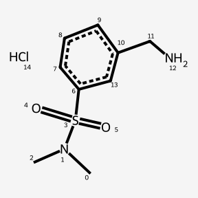 CN(C)S(=O)(=O)c1cccc(CN)c1.Cl